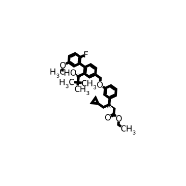 CCOC(=O)C[C@@H](CC1CC1)c1cccc(OCc2ccc(-c3cc(OC)ccc3F)c([C@@H](O)C(C)(C)C)c2)c1